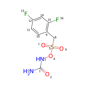 NC(=O)NOS(=O)(=O)Cc1ccc(F)cc1F